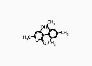 CCc1cc(C)cc(C)c1-c1c(O)cc(C)oc1=O